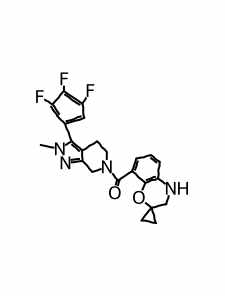 Cn1nc2c(c1-c1cc(F)c(F)c(F)c1)CCN(C(=O)c1cccc3c1OC1(CC1)CN3)C2